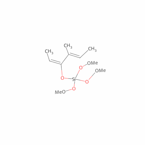 CC=C(C)C(=CC)O[Si](OOC)(OOC)OOC